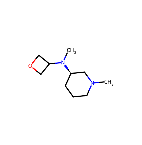 CN1CCC[C@@H](N(C)C2COC2)C1